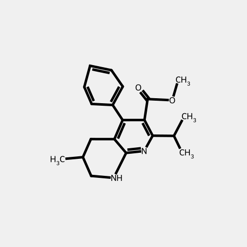 COC(=O)c1c(C(C)C)nc2c(c1-c1ccccc1)CC(C)CN2